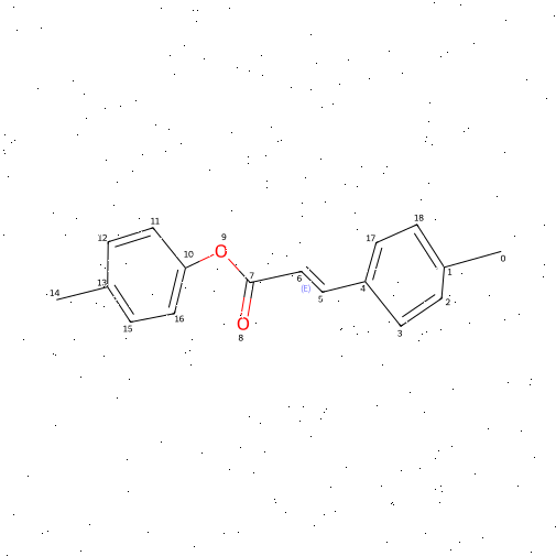 Cc1ccc(/C=C/C(=O)Oc2ccc(C)cc2)cc1